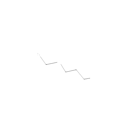 NCOCCCC(=O)O